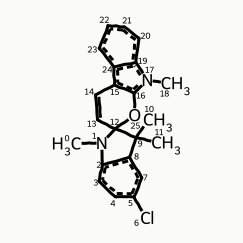 CN1c2ccc(Cl)cc2C(C)(C)C12C=Cc1c(n(C)c3ccccc13)O2